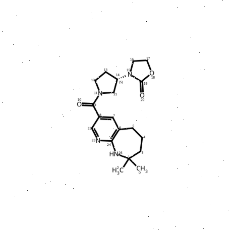 CC1(C)CCCc2cc(C(=O)N3CC[C@H](N4CCOC4=O)C3)cnc2N1